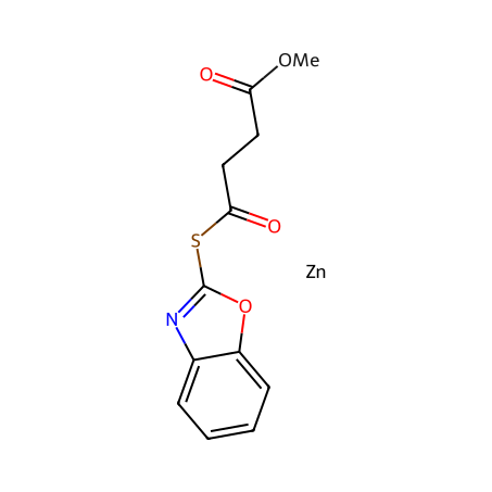 COC(=O)CCC(=O)Sc1nc2ccccc2o1.[Zn]